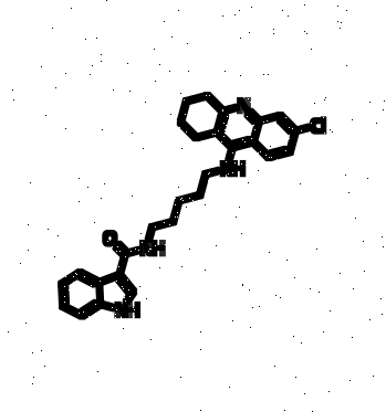 O=C(NCCCCCNc1c2c(nc3cc(Cl)ccc13)CCCC2)c1c[nH]c2ccccc12